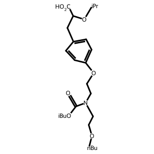 CCCCOCCN(CCOc1ccc(CC(OC(C)C)C(=O)O)cc1)C(=O)OCC(C)C